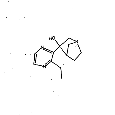 CCc1nccnc1C1(O)CN2CCC1C2